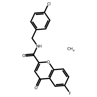 C.O=C(NCc1ccc(Cl)cc1)c1cc(=O)c2cc(F)ccc2o1